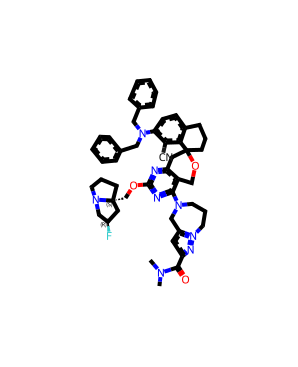 CN(C)C(=O)c1cc2n(n1)CCCN(c1nc(OC[C@@]34CCCN3C[C@H](F)C4)nc3c1COC1(CCCc4ccc(N(Cc5ccccc5)Cc5ccccc5)c(C#N)c41)C3)C2